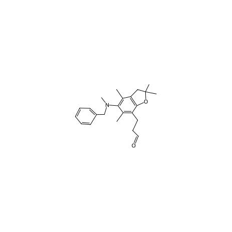 Cc1c(CCC=O)c2c(c(C)c1N(C)Cc1ccccc1)CC(C)(C)O2